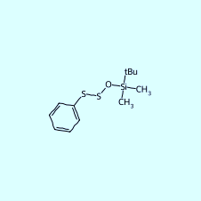 CC(C)(C)[Si](C)(C)OSSc1ccccc1